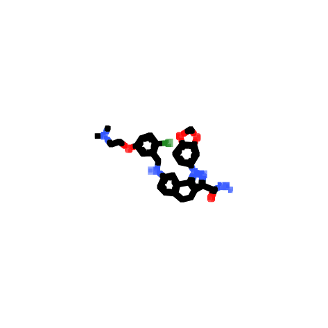 CN(C)CCOc1ccc(Cl)c(CNc2ccc3c(c2)-c2c(c(C(N)=O)nn2-c2ccc4c(c2)OCO4)CC3)c1